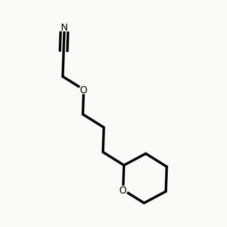 N#CCOCCCC1CCCCO1